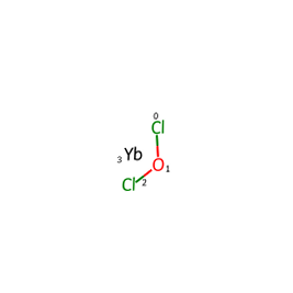 ClOCl.[Yb]